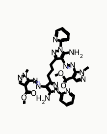 COC(=O)c1cnn(C)c1/N=N/c1c(CCCc2nn(-c3ccccn3)c(N)c2/N=N/c2c(C(=O)OC)cnn2C)nn(-c2ccccn2)c1N